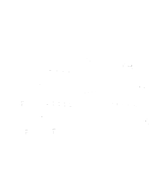 CC(=O)Oc1c(C)sc2ccc(C(F)(F)F)cc12